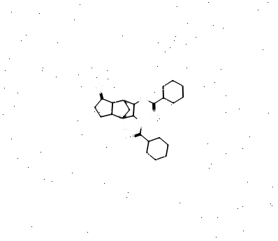 O=C(OC1C2C[C@H](C3CCC(=O)C23)C1OC(=O)C1CCCCC1)C1CCCCC1